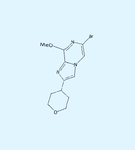 COc1nc(Br)cn2cc(C3CCOCC3)nc12